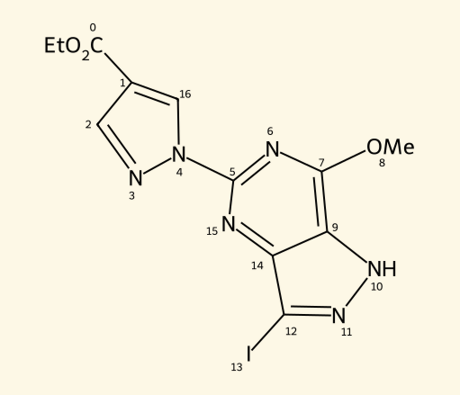 CCOC(=O)c1cnn(-c2nc(OC)c3[nH]nc(I)c3n2)c1